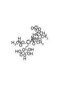 CNC(=O)OCc1ccc(NC(=O)[C@H](C)NC(=O)[C@@H](NC(=O)CN2C(=O)C=CC2=O)C(C)C)cc1CC[C@@H]1O[C@H](C(=O)O)[C@@H](O)[C@H](O)[C@H]1O